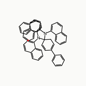 C1=CC(N(c2cccc3ccccc23)c2cccc3ccccc23)(N(c2cccc3ccccc23)c2cccc3ccccc23)CC=C1c1ccccc1